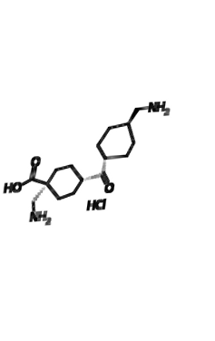 Cl.NC[C@H]1CC[C@H](C(=O)[C@H]2CC[C@](CN)(C(=O)O)CC2)CC1